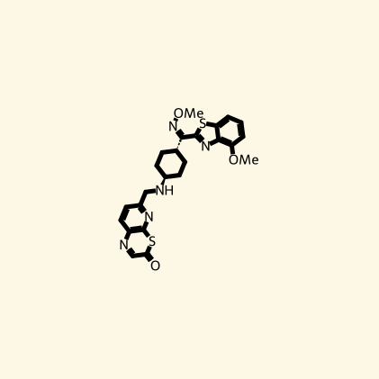 CON=C(c1nc2c(OC)cccc2s1)[C@H]1CC[C@H](NCc2ccc3ncc(=O)sc3n2)CC1